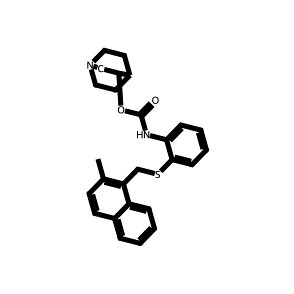 Cc1ccc2ccccc2c1CSc1ccccc1NC(=O)OC1CN2CCC1CC2